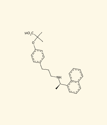 C[C@@H](NCCCc1ccc(OC(C)(C)C(=O)O)cc1)c1cccc2ccccc12